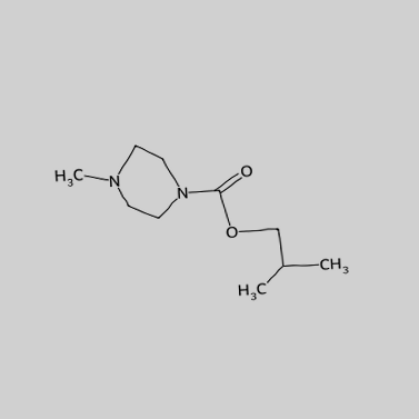 CC(C)COC(=O)N1CCN(C)CC1